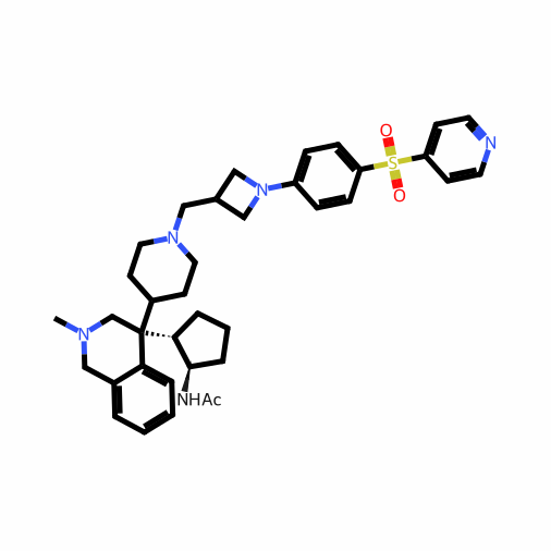 CC(=O)N[C@@H]1CCC[C@H]1C1(C2CCN(CC3CN(c4ccc(S(=O)(=O)c5ccncc5)cc4)C3)CC2)CN(C)Cc2ccccc21